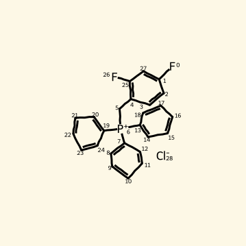 Fc1ccc(C[P+](c2ccccc2)(c2ccccc2)c2ccccc2)c(F)c1.[Cl-]